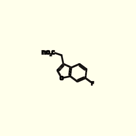 CCOC(=O)Cc1coc2cc(F)ccc12